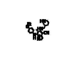 CCOc1ccc(Nc2c(C)c(NCC3CCCNC3)c(C#N)c3ccnn23)cc1